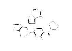 Cc1nc(N2CCc3[nH]cnc3[C@@H]2c2cc3c(F)cccn3n2)ncc1C(=O)N1CCCC1